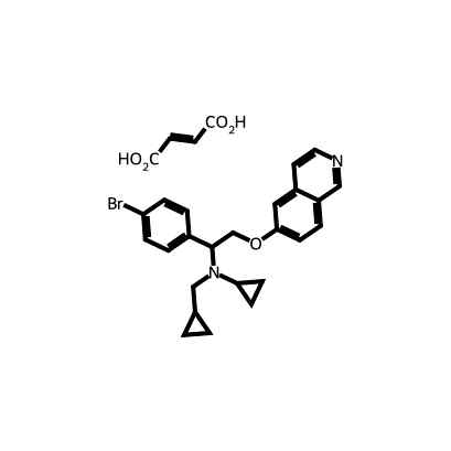 Brc1ccc(C(COc2ccc3cnccc3c2)N(CC2CC2)C2CC2)cc1.O=C(O)C=CC(=O)O